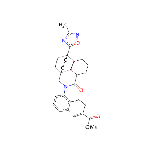 COC(=O)C1=Cc2cccc(N(CC34CCC(c5nc(C)no5)(CC3)CC4)C(=O)C3CCCCC3)c2CC1